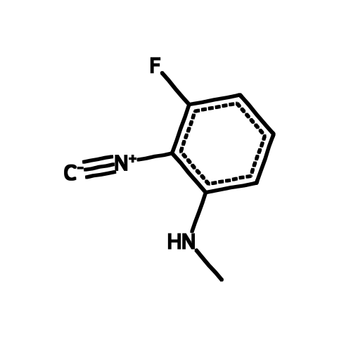 [C-]#[N+]c1c(F)cccc1NC